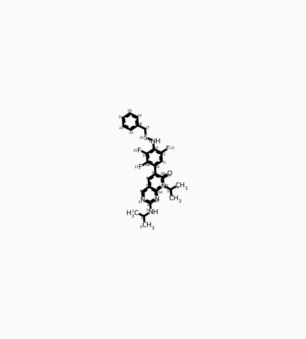 CC(C)Nc1ncc2cc(-c3cc(F)c(NSCc4ccccc4)c(F)c3F)c(=O)n(C(C)C)c2n1